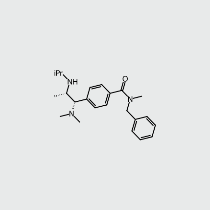 CC(C)N[C@@H](C)[C@H](c1ccc(C(=O)N(C)Cc2ccccc2)cc1)N(C)C